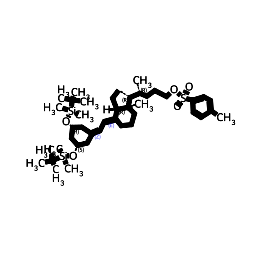 Cc1ccc(S(=O)(=O)OCCC[C@@H](C)[C@H]2CC[C@H]3/C(=C/C=C4\C[C@@H](O[Si](C)(C)C(C)(C)C)C[C@@H](O[Si](C)(C)C(C)(C)C)C4)CCC[C@]23C)cc1